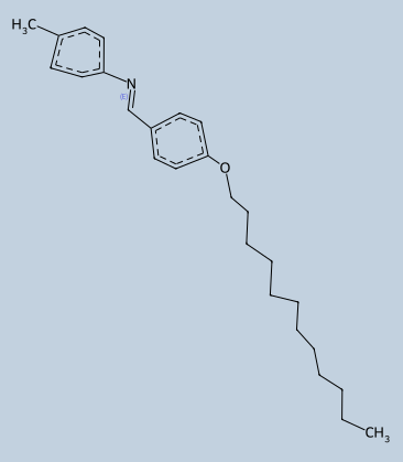 CCCCCCCCCCCCOc1ccc(/C=N/c2ccc(C)cc2)cc1